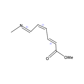 C/N=C/C=C\C=C\C(=O)OC